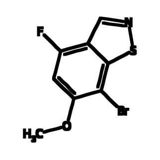 COc1cc(F)c2cnsc2c1Br